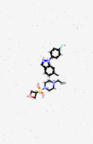 Cc1cc2c(cnn2-c2ccc(F)cc2)cc1[C@H]1CN(S(=O)(=O)C2COC2)CCN1CC(C)C